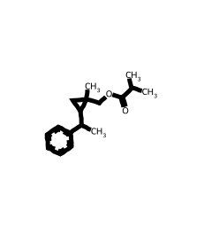 CC(C)C(=O)OCC1(C)CC1C(C)c1ccccc1